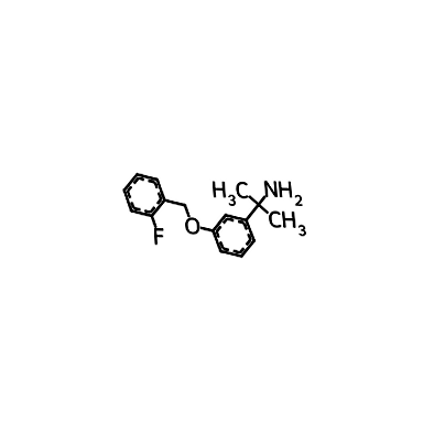 CC(C)(N)c1cccc(OCc2ccccc2F)c1